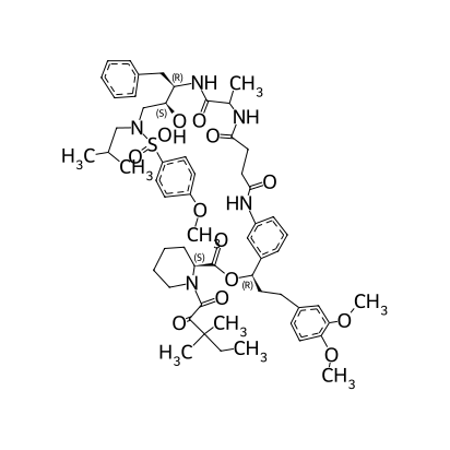 CCC(C)(C)C(=O)C(=O)N1CCCC[C@H]1C(=O)O[C@H](CCc1ccc(OC)c(OC)c1)c1cccc(NC(=O)CCC(=O)NC(C)C(=O)N[C@H](Cc2ccccc2)[C@@H](O)CN(CC(C)C)S(=O)(=O)c2ccc(OC)cc2)c1